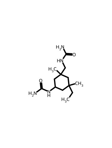 CCC1(C)CC(NC(N)=O)CC(C)(CNC(N)=O)C1